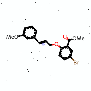 COC(=O)c1cc(Br)ccc1OC/C=C/c1cccc(OC)c1